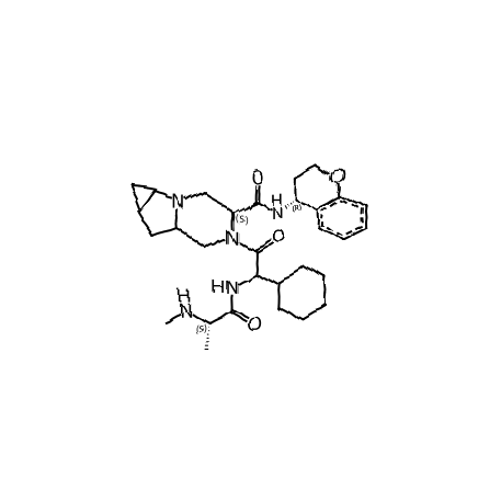 CN[C@@H](C)C(=O)NC(C(=O)N1CC2CC3CC3N2C[C@H]1C(=O)N[C@@H]1CCOc2ccccc21)C1CCCCC1